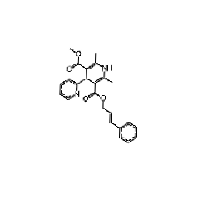 COC(=O)C1=C(C)NC(C)=C(C(=O)OCC=Cc2ccccc2)C1c1ccccn1